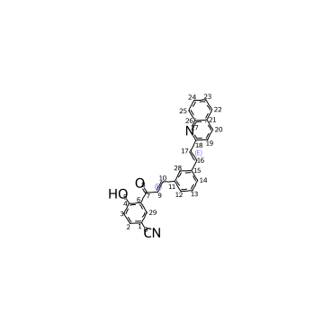 N#Cc1ccc(O)c(C(=O)/C=C/c2cccc(/C=C/c3ccc4ccccc4n3)c2)c1